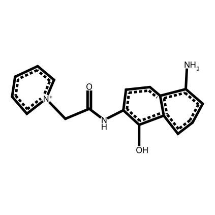 Nc1cccc2c(O)c(NC(=O)C[n+]3ccccc3)ccc12